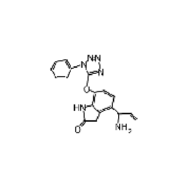 C=CC(N)c1ccc(Oc2nnnn2-c2ccccc2)c2c1CC(=O)N2